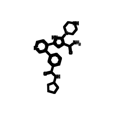 NC(=O)c1cc(-c2ccncc2-c2cccc(C(=O)NC3CCCC3)c2)[nH]c1N1CCNCC1